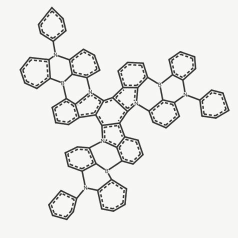 c1ccc(N2c3ccccc3B3c4c2cccc4-n2c4c3cccc4c3c2c2c4cccc5c4n(c2c2c4cccc6c4n(c32)-c2cccc3c2B6c2ccccc2N3c2ccccc2)-c2cccc3c2B5c2ccccc2N3c2ccccc2)cc1